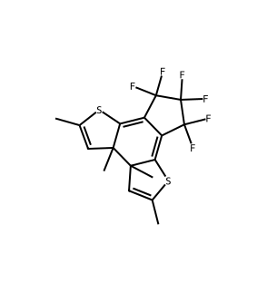 CC1=CC2(C)C(=C3C(=C4SC(C)=CC42C)C(F)(F)C(F)(F)C3(F)F)S1